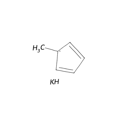 C[C]1C=CC=C1.[KH]